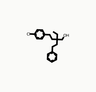 CCC(CO)(CCc1ccccc1)CCc1ccc(Cl)cc1